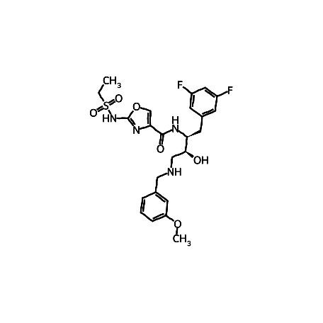 CCS(=O)(=O)Nc1nc(C(=O)N[C@@H](Cc2cc(F)cc(F)c2)[C@@H](O)CNCc2cccc(OC)c2)co1